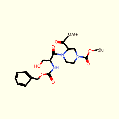 COC(=O)C1CN(C(=O)OC(C)(C)C)CCN1C(=O)C(CO)NC(=O)OCc1ccccc1